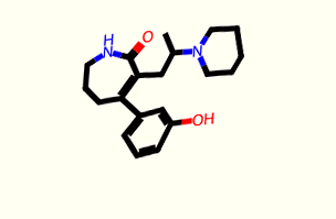 CC(CC1=C(c2cccc(O)c2)CCCNC1=O)N1CCCCC1